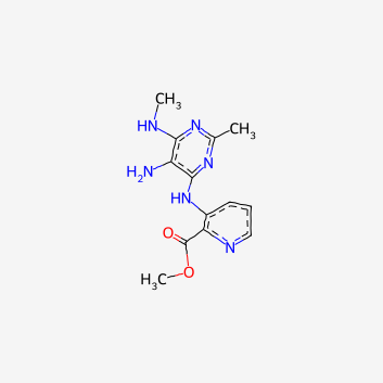 CNc1nc(C)nc(Nc2cccnc2C(=O)OC)c1N